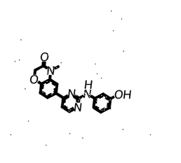 CN1C(=O)COc2ccc(-c3ccnc(Nc4cccc(O)c4)n3)cc21